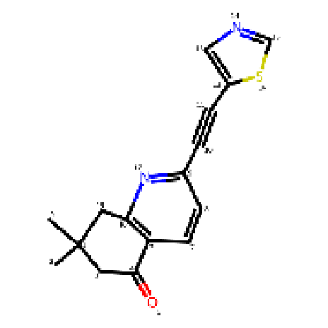 CC1(C)CC(=O)c2ccc(C#Cc3cncs3)nc2C1